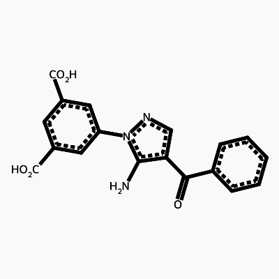 Nc1c(C(=O)c2ccccc2)cnn1-c1cc(C(=O)O)cc(C(=O)O)c1